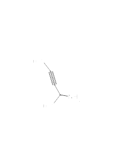 CCCC#CC(N)CCC